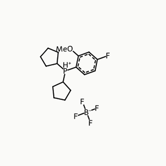 COc1cc(F)ccc1[PH+](C1CCCC1)C1CCCC1.F[B-](F)(F)F